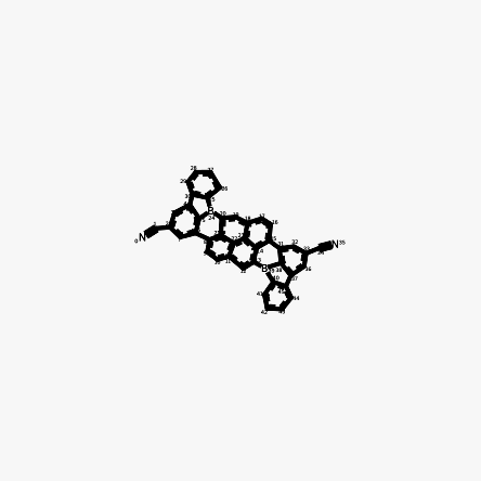 N#Cc1cc2c3c(c1)-c1ccc4cc5c6c(ccc7cc(c1c4c76)B3c1ccccc1-2)-c1cc(C#N)cc2c1B5c1ccccc1-2